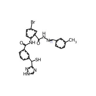 Cc1cccc(/C=N/NC(=O)c2cc(Br)ccc2NC(=O)c2cccc(C(S)c3nc[nH]n3)c2)c1